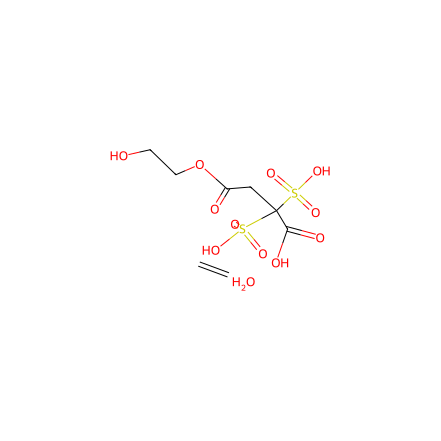 C=C.O.O=C(CC(C(=O)O)(S(=O)(=O)O)S(=O)(=O)O)OCCO